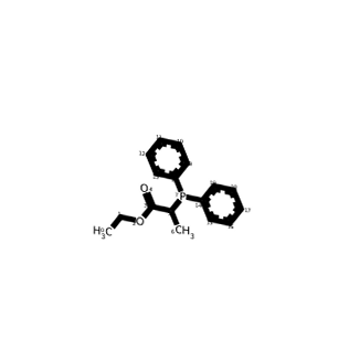 CCOC(=O)C(C)P(c1ccccc1)c1ccccc1